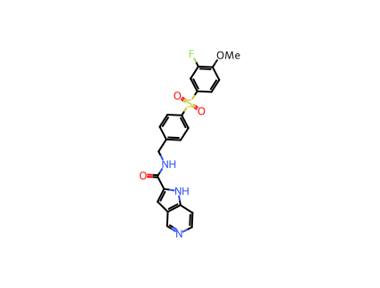 COc1ccc(S(=O)(=O)c2ccc(CNC(=O)c3cc4cnccc4[nH]3)cc2)cc1F